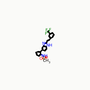 CS(=O)(=O)Nc1ccccc1-c1ccc2[nH]c(C=Cc3cccc(C(F)(F)F)c3)nc2c1